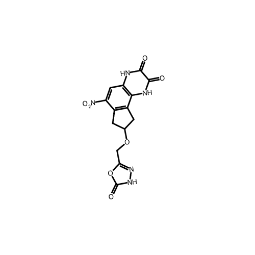 O=c1[nH]nc(COC2Cc3c([N+](=O)[O-])cc4[nH]c(=O)c(=O)[nH]c4c3C2)o1